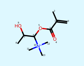 C=C(C)C(=O)OC(C(C)O)[N+](C)(C)C